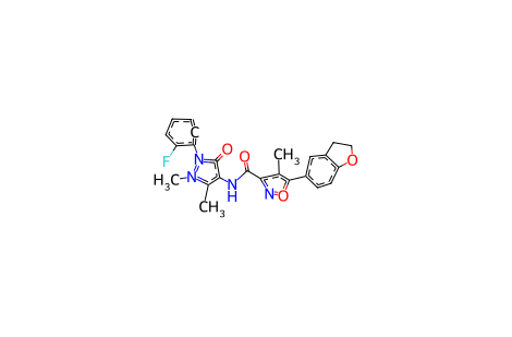 Cc1c(C(=O)Nc2c(C)n(C)n(-c3ccccc3F)c2=O)noc1-c1ccc2c(c1)CCO2